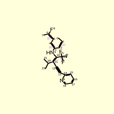 C\C=C/C(=C\C=C(/C)F)N/C(=C(/C#Cc1ccccn1)C(C)C)C(F)(F)F